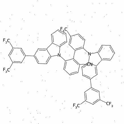 N#Cc1cccc(-n2c3ccccc3c3cc(-c4cc(C(F)(F)F)cc(C(F)(F)F)c4)ccc32)c1-c1cc(C(F)(F)F)ccc1-n1c2ccccc2c2cc(-c3cc(C(F)(F)F)cc(C(F)(F)F)c3)ccc21